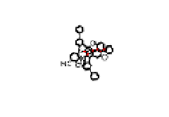 N#Cc1ccc(-n2c3ccc(-c4ccccc4)cc3c3c4oc5ccccc5c4ccc32)c(-n2c3ccc(-c4ccccc4)cc3c3c4cc5oc6ccccc6c5cc4ccc32)c1C#N